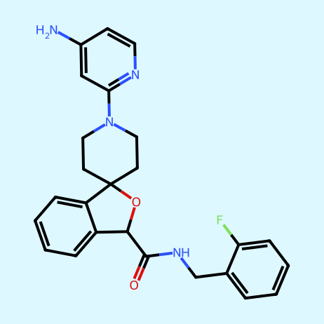 Nc1ccnc(N2CCC3(CC2)OC(C(=O)NCc2ccccc2F)c2ccccc23)c1